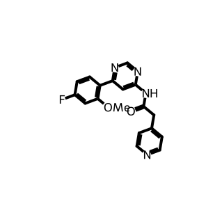 COc1cc(F)ccc1-c1cc(NC(=O)Cc2ccncc2)ncn1